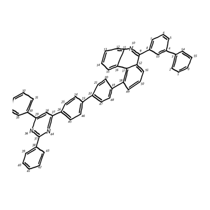 c1ccc(-c2cccc(-c3nc4ccccc4c4c(-c5ccc(-c6ccc(-c7cc(-c8ccccc8)nc(-c8ccccc8)n7)cc6)cc5)cccc34)c2)cc1